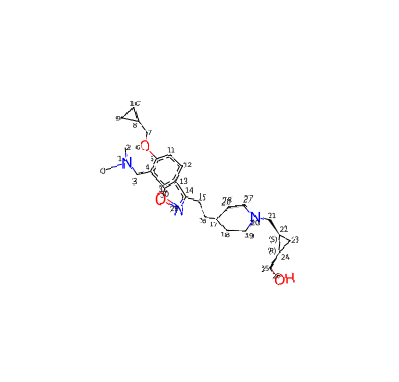 CN(C)Cc1c(OCC2CC2)ccc2c(CCC3CCN(C[C@H]4C[C@H]4CO)CC3)noc12